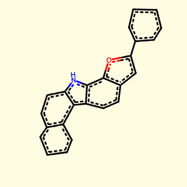 c1ccc(-c2cc3ccc4c([nH]c5ccc6ccccc6c54)c3o2)cc1